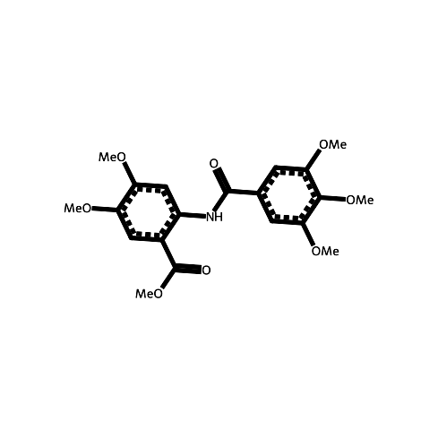 COC(=O)c1cc(OC)c(OC)cc1NC(=O)c1cc(OC)c(OC)c(OC)c1